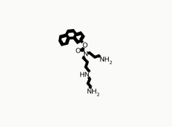 NCCCNCCCCN(CCCN)C(=O)Oc1ccc2ccc3ccccc3c2c1